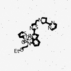 CCOCCN(c1cccc2cc(-c3ncc(CN4CCC(c5ncccn5)C4)s3)[nH]c12)S(=O)(=O)c1cccs1